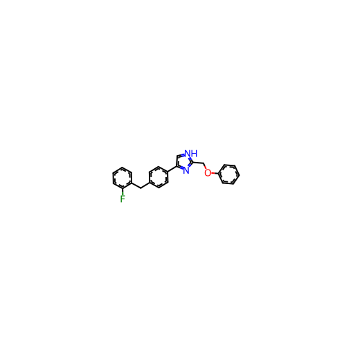 Fc1ccccc1Cc1ccc(-c2c[nH]c(COc3ccccc3)n2)cc1